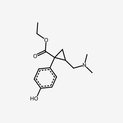 CCOC(=O)C1(c2ccc(O)cc2)CC1CN(C)C